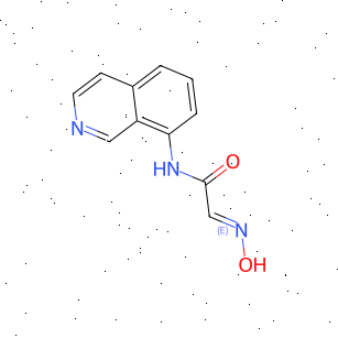 O=C(/C=N/O)Nc1cccc2ccncc12